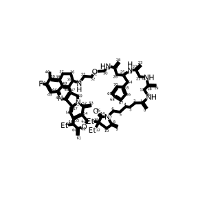 C=C(CCCCCN1C(=C)CC(CC)(CC)C1=O)NCC(=C)NCC(=C)NC(CC(=C)NCOCCNC1CCc2c(C)c(F)cc3nc4c(c1c23)CN1C(=C)C2=C(C=C41)C(CC)C(=C)OC2)Cc1ccccc1